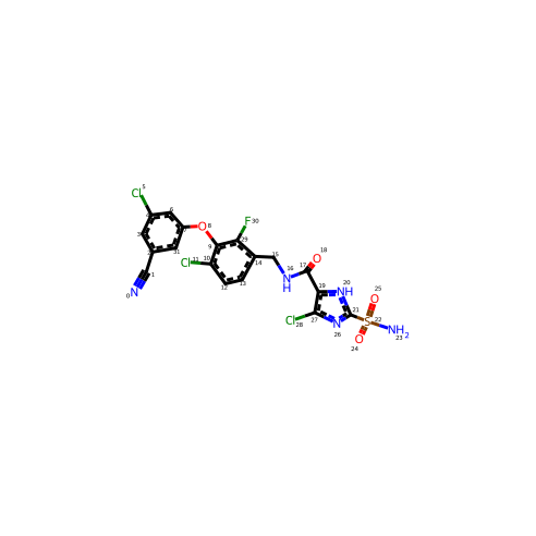 N#Cc1cc(Cl)cc(Oc2c(Cl)ccc(CNC(=O)c3[nH]c(S(N)(=O)=O)nc3Cl)c2F)c1